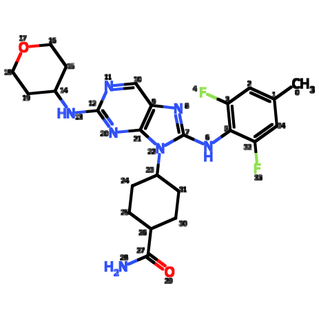 Cc1cc(F)c(Nc2nc3cnc(NC4CCOCC4)nc3n2C2CCC(C(N)=O)CC2)c(F)c1